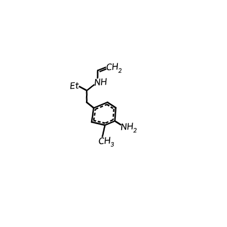 C=CNC(CC)Cc1ccc(N)c(C)c1